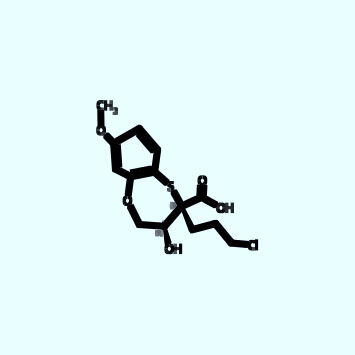 COc1ccc2c(c1)OC[C@H](O)[C@@](CCCCl)(C(=O)O)S2